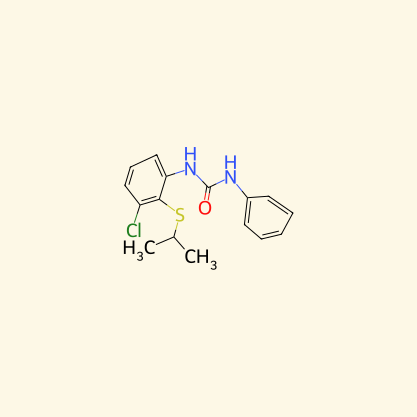 CC(C)Sc1c(Cl)cccc1NC(=O)Nc1ccccc1